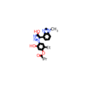 CCc1cc(-n2nnc(O)c2-c2cccc3c2ncn3C)c(O)cc1OC(=O)C(C)C